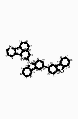 c1cnc2c(c1)-c1nc(-n3c4ccccc4c4cc(-c5ccc6oc7ccccc7c6c5)ccc43)cc3cccc-2c13